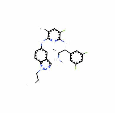 COCCn1ncc2cc(Nc3nc(N[C@H](c4cc(F)cc(F)c4)[C@H](C)NC(=O)O)c(F)cc3C#N)ccc21